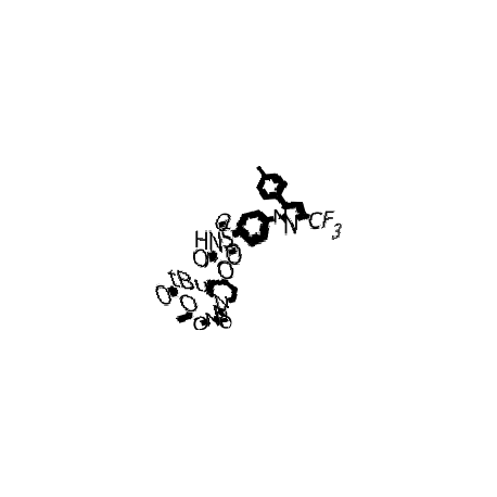 Cc1ccc(-c2cc(C(F)(F)F)nn2-c2ccc(S(=O)(=O)NC(=O)OC3CCN(n4on4OC(C)OC(=O)C(C)(C)C)CC3)cc2)cc1